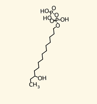 CCC(O)CCCCCCCCCCCOP(=O)(O)OP(=O)(O)O